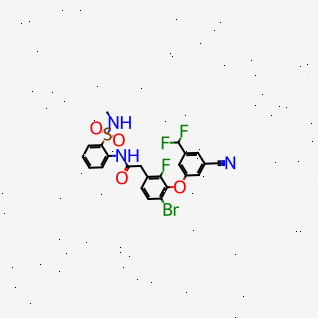 CNS(=O)(=O)c1ccccc1NC(=O)Cc1ccc(Br)c(Oc2cc(C#N)cc(C(F)F)c2)c1F